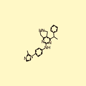 Cc1nccn1-c1ccc(Nc2nc3c(c(C(C)c4ccccc4)n2)CNCC3)cc1